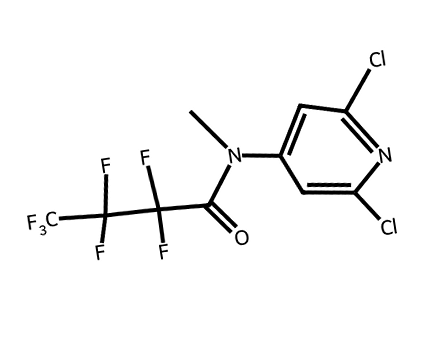 CN(C(=O)C(F)(F)C(F)(F)C(F)(F)F)c1cc(Cl)nc(Cl)c1